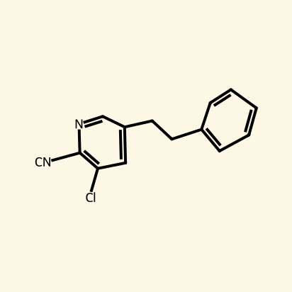 [C-]#[N+]c1ncc(CCc2ccccc2)cc1Cl